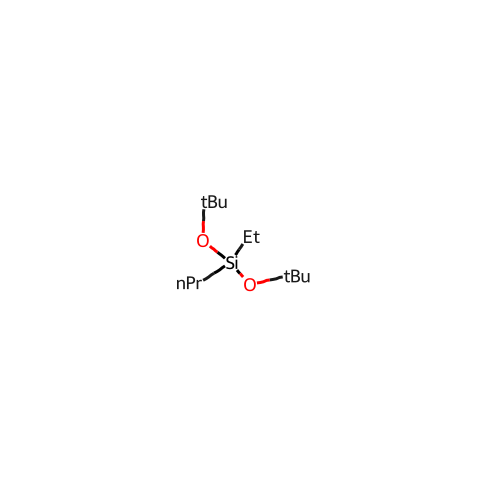 CCC[Si](CC)(OC(C)(C)C)OC(C)(C)C